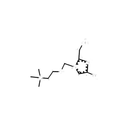 C[Si](C)(C)CCOCn1cc(Br)nc1CO